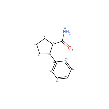 NC(=O)C1CCCC1c1ccccc1